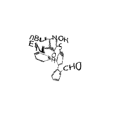 CCCCc1nc(O)c(Sc2ccc(-c3ccccc3C=O)cc2)c(O)c1N(CC)c1ccccc1